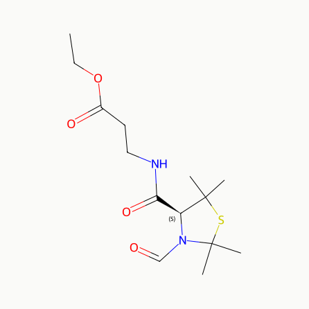 CCOC(=O)CCNC(=O)[C@@H]1N(C=O)C(C)(C)SC1(C)C